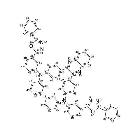 c1ccc(-c2nnc(-c3cccc(N(c4ccccc4)c4ccc(-c5nc6ccccc6nc5-c5ccc(N(c6ccccc6)c6cccc(-c7nnc(-c8ccccc8)o7)c6)cc5)cc4)c3)o2)cc1